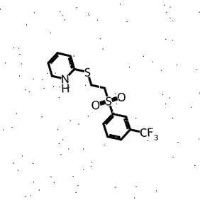 O=S(=O)(CCSC1=[C]C=CCN1)c1cccc(C(F)(F)F)c1